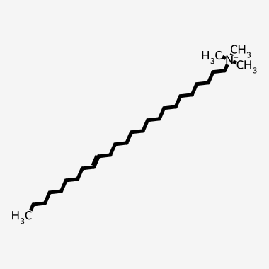 CCCCCCCCC=CCCCCCCCCCCCCCCC[N+](C)(C)C